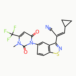 Cn1c(C(F)(F)F)cc(=O)n(-c2ccc3snc(C(C#N)=CC4CC4)c3c2)c1=O